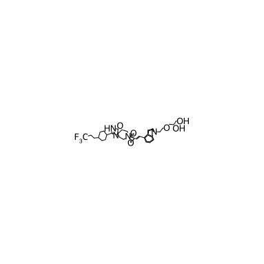 O=C1NC(C2CCC(CCC(F)(F)F)CC2)=NC12CCN(S(=O)(=O)C=Cc1cccc3c1ccn3CCOCC(O)CO)CC2